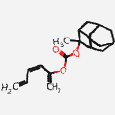 C=C/C=C\C(=C)OC(=O)OC1(C)C2CC3CC(C2)CC1C3